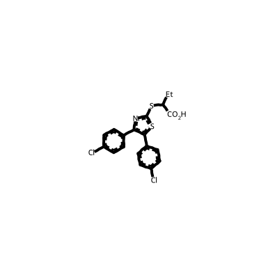 CCC(Sc1nc(-c2ccc(Cl)cc2)c(-c2ccc(Cl)cc2)s1)C(=O)O